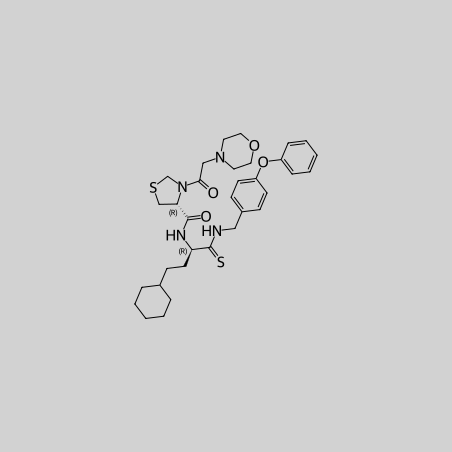 O=C(N[C@H](CCC1CCCCC1)C(=S)NCc1ccc(Oc2ccccc2)cc1)[C@@H]1CSCN1C(=O)CN1CCOCC1